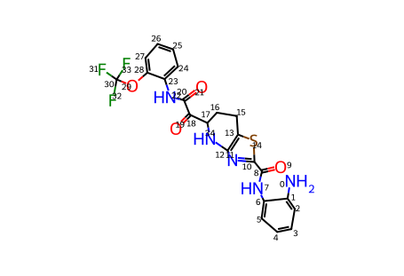 Nc1ccccc1NC(=O)c1nc2c(s1)CCC(C(=O)C(=O)Nc1ccccc1OC(F)(F)F)N2